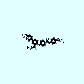 NC(=O)c1cc(-c2ccc(N)nc2)ccc1OC1CCN(C(=O)Cc2ccc(OC(F)(F)F)cc2)CC1